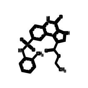 CCOC(=O)c1c[nH]c2c(=O)[nH]c3ccc(S(=O)(=O)Nc4ccccc4C)cc3c12